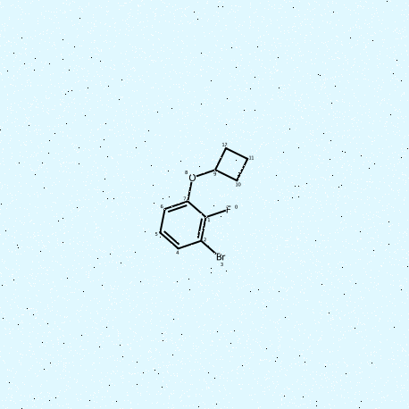 Fc1c(Br)cccc1OC1CCC1